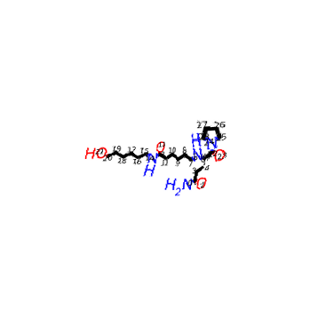 NC(=O)CC[C@H](NCCCCCC(=O)NCCCCCCO)C(=O)N1CCCC1